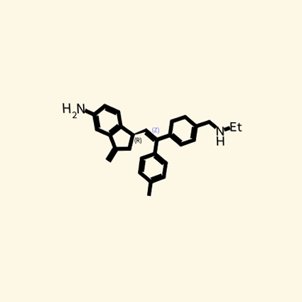 C=C1C[C@H](/C=C(/C2=CC=C(CNCC)CC2)c2ccc(C)cc2)c2ccc(N)cc21